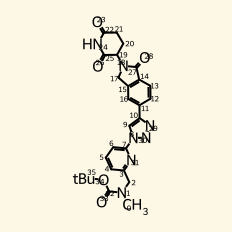 CN(Cc1cccc(-n2cc(-c3ccc4c(c3)CN(C3CCC(=O)NC3=O)C4=O)nn2)n1)C(=O)OC(C)(C)C